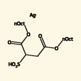 CCCCCCCCOC(=O)CC(C(=O)OCCCCCCCC)S(=O)(=O)O.[Ag]